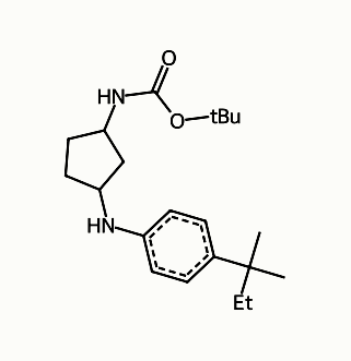 CCC(C)(C)c1ccc(NC2CCC(NC(=O)OC(C)(C)C)C2)cc1